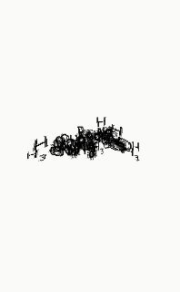 COC(=O)N[C@H](C(=O)N1CCC[C@H]1c1nc2cc(F)c([C@H]3CC[C@H](c4ccc5nc([C@@H]6CCCN6C(=O)[C@@H](NC(=O)O)C(C)C)[nH]c5c4)N3c3cc(F)c(N4CCCCC4)c(F)c3)cc2[nH]1)C(C)C